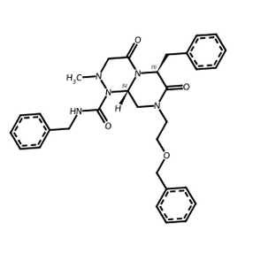 CN1CC(=O)N2[C@@H](Cc3ccccc3)C(=O)N(CCOCc3ccccc3)C[C@@H]2N1C(=O)NCc1ccccc1